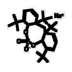 CC(C)(C)C1=CC=CC2(C(C)(C)C)CC3(C(C)(C)C)C=CC=C(C(C)(C)C)C3OP(=O)([O-])OC12.[Na+]